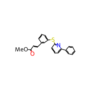 COC(=O)C=Cc1cccc(Sc2cccc(-c3ccccc3)n2)c1